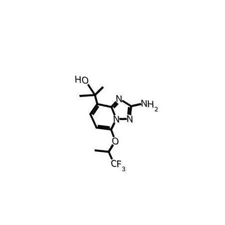 CC(Oc1ccc(C(C)(C)O)c2nc(N)nn12)C(F)(F)F